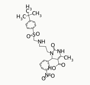 CC1=C(C(=O)O)C(c2cccc([N+](=O)[O-])c2)N(CCCNCS(=O)(=O)c2ccc(C(C)(C)C)cc2)C(=O)N1